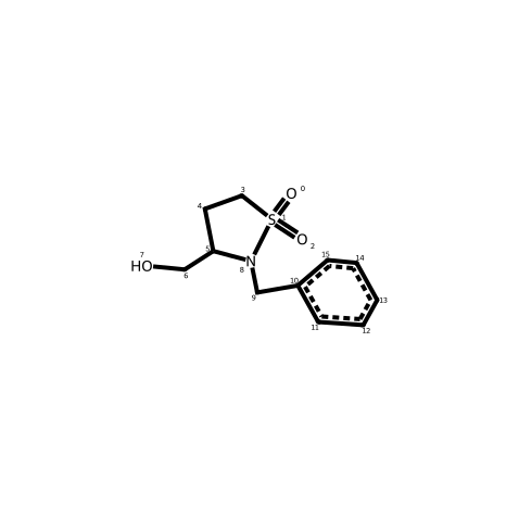 O=S1(=O)CCC(CO)N1Cc1ccccc1